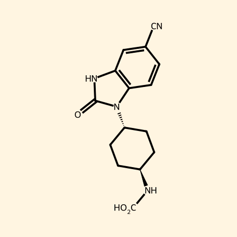 N#Cc1ccc2c(c1)[nH]c(=O)n2[C@H]1CC[C@H](NC(=O)O)CC1